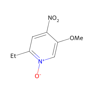 CCc1cc([N+](=O)[O-])c(OC)c[n+]1[O-]